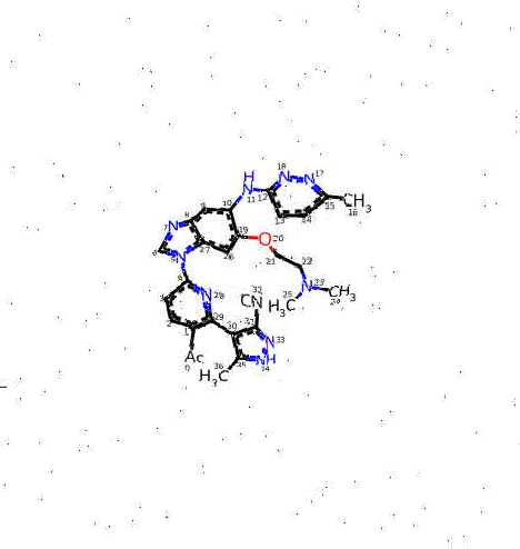 CC(=O)c1ccc(-n2cnc3cc(Nc4ccc(C)nn4)c(OCCN(C)C)cc32)nc1-c1c(C#N)n[nH]c1C